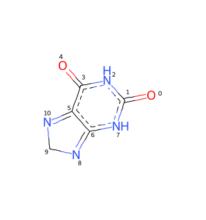 O=c1[nH]c(=O)c2c([nH]1)=NCN=2